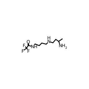 CC(N)CCNCCCCNC(=O)C(F)(F)F